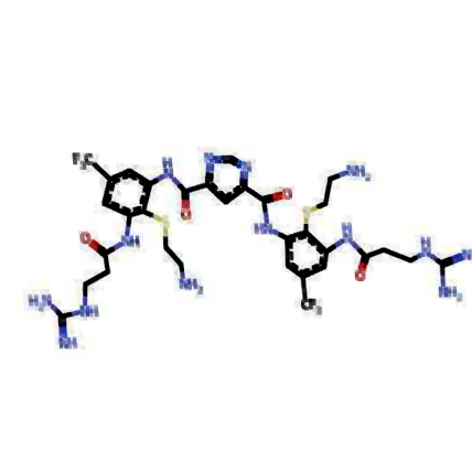 N=C(N)NCCC(=O)Nc1cc(C(F)(F)F)cc(NC(=O)c2cc(C(=O)Nc3cc(C(F)(F)F)cc(NC(=O)CCNC(=N)N)c3SCCN)ncn2)c1SCCN